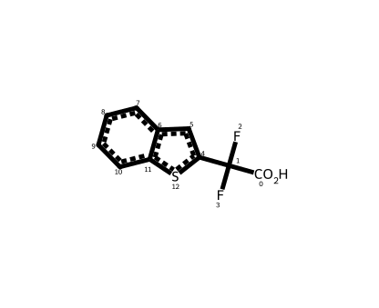 O=C(O)C(F)(F)c1cc2ccccc2s1